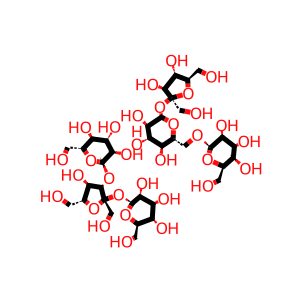 OC[C@H]1O[C@@](CO)(O[C@H]2O[C@H](CO)[C@@H](O)[C@H](O)[C@H]2O)[C@@H](O[C@H]2O[C@H](CO)[C@@H](O)[C@H](O)[C@H]2O)[C@@H]1O.OC[C@H]1O[C@H](OC[C@H]2O[C@H](O[C@]3(CO)O[C@H](CO)[C@@H](O)[C@@H]3O)[C@H](O)[C@@H](O)[C@@H]2O)[C@H](O)[C@@H](O)[C@H]1O